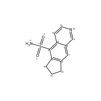 NS(=O)(=O)c1c2c(cc3cnccc13)CCC2